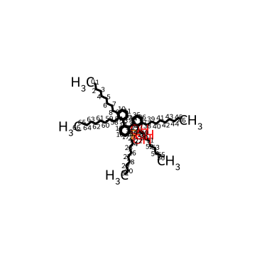 CCCCCCCCCc1cccc(-c2cccc(P(O)(O)(O)CCCCCCCCC)c2-c2cccc(CCCCCCCCC)c2CCCCCCCCC)c1CCCCCCCCC